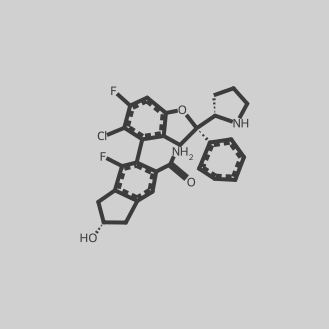 NC(=O)c1cc2c(c(F)c1-c1c(Cl)c(F)cc3c1C[C@](c1ccccc1)([C@@H]1CCCN1)O3)C[C@@H](O)C2